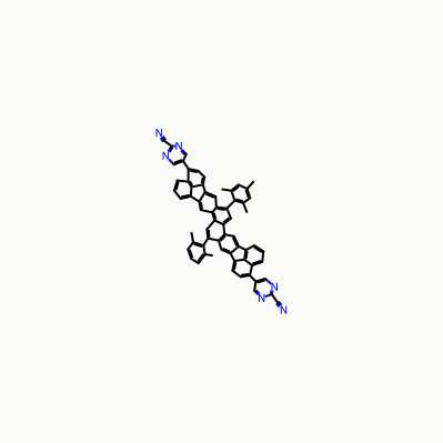 Cc1cc(C)c(-c2cc3c4cc5c(cc4c(-c4c(C)cccc4C)cc3c3cc4c(cc23)-c2ccc(-c3cnc(C#N)nc3)c3cccc-4c23)-c2ccc(-c3cnc(C#N)nc3)c3cccc-5c23)c(C)c1